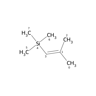 CC(C)=C[Si](C)(C)C